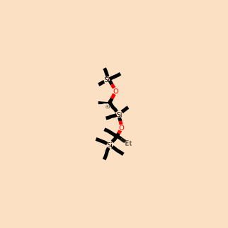 CCC(C)(O[Si](C)(C)[C@@H](C)O[Si](C)(C)C)[Si](C)(C)C